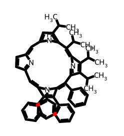 CC(C)C1=C(C(C)C)c2nc1c(C(C)C)c1[nH]c(cc3nc(cc4c(-c5ccccc5)c(-c5ccccc5)c(c2-c2ccccc2)n4-c2ccccc2)C=C3)cc1C(C)C